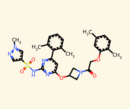 Cc1ccc(C)c(OCC(=O)N2CC(Oc3cc(-c4c(C)cccc4C)nc(NS(=O)(=O)c4cnn(C)c4)n3)C2)c1